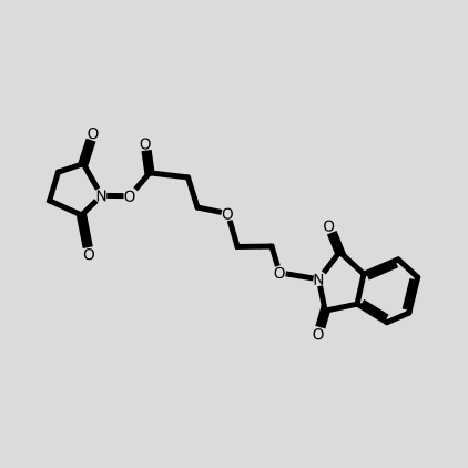 O=C(CCOCCON1C(=O)c2ccccc2C1=O)ON1C(=O)CCC1=O